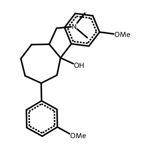 COc1cccc(C2CCCC(CN(C)C)C(O)(c3cccc(OC)c3)C2)c1